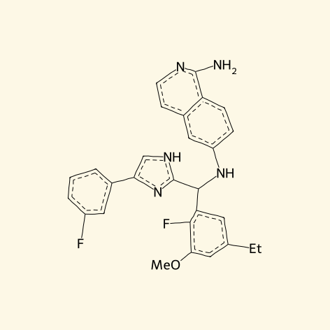 CCc1cc(OC)c(F)c(C(Nc2ccc3c(N)nccc3c2)c2nc(-c3cccc(F)c3)c[nH]2)c1